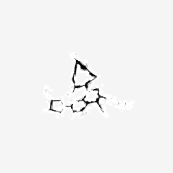 CCOC(=O)c1cn(-c2ccc(F)cc2F)c2nc(N3CC[C@@H](F)C3)ccc2c1=O